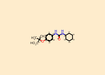 CC(C)(Oc1ccc(NC(=O)NC2CCCCC2)cc1)C(=O)O